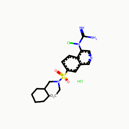 Cl.N=C(N)N(Cl)c1cncc2cc(S(=O)(=O)N(CC(=O)O)CC3CCCCC3)ccc12